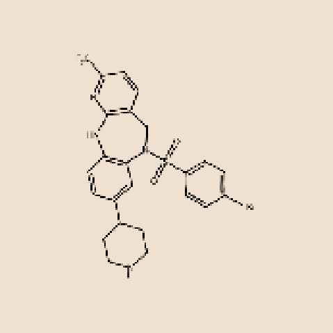 CC(C)(C)c1ccc(S(=O)(=O)N2Cc3ccc(C(F)(F)F)nc3Nc3ccc(C4CCNCC4)cc32)cc1